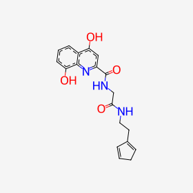 O=C(CNC(=O)c1cc(O)c2cccc(O)c2n1)NCCC1=CCC=C1